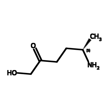 C[C@H](N)CCC(=O)CO